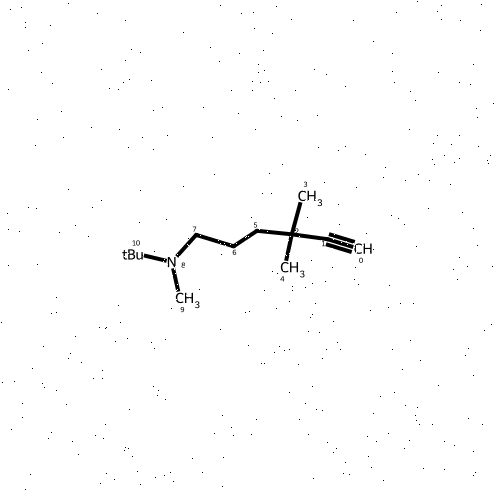 C#CC(C)(C)CCCN(C)C(C)(C)C